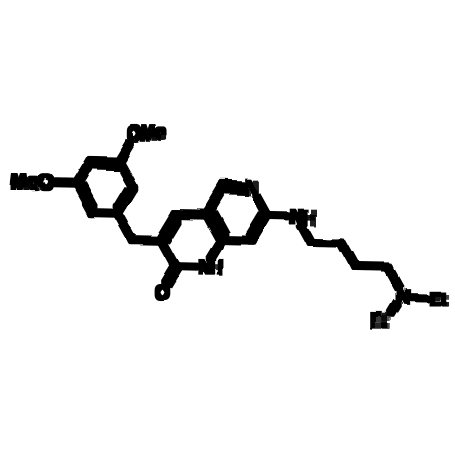 CCN(CC)CCCCNc1cc2[nH]c(=O)c(Cc3cc(OC)cc(OC)c3)cc2cn1